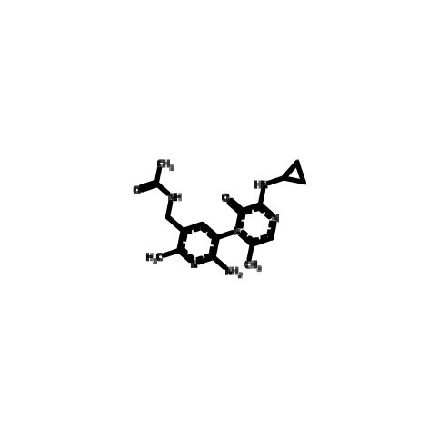 CC(=O)NCc1cc(-n2c(C)cnc(NC3CC3)c2=O)c(N)nc1C